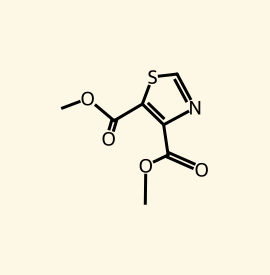 COC(=O)c1ncsc1C(=O)OC